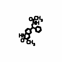 CC(=O)NCC(c1ccccc1)c1ccc2[nH]c(=O)c(C)cc2c1